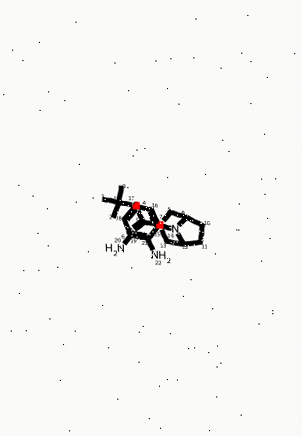 CC(C)(C)OC(=O)N1CC2CCC(C1)N2c1cccc(N)c1N